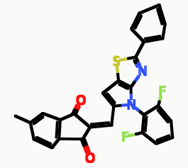 Cc1ccc2c(c1)C(=O)/C(=C\c1cc3sc(-c4ccccc4)nc3n1-c1c(F)cccc1F)C2=O